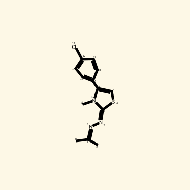 CC(C)=NN=c1scc(-c2ccc(Cl)cc2)n1C